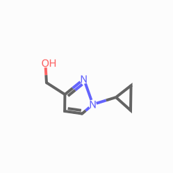 OCc1ccn(C2CC2)n1